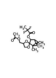 CC(=O)OCC1COC2(O1)C(OC(=O)C(C)(F)F)C1CCC2(C)C1(C)C